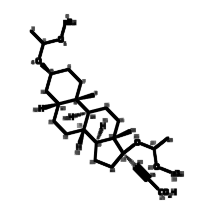 CCCCOC(C)O[C@H]1CC[C@@]2(C)[C@H](CC[C@@H]3[C@@H]2CC[C@@]2(C)[C@H]3CC[C@]2(C#CC(=O)O)OC(C)OCCCC)C1